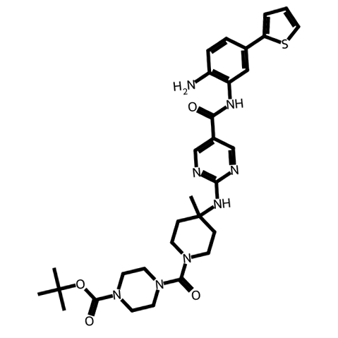 CC1(Nc2ncc(C(=O)Nc3cc(-c4cccs4)ccc3N)cn2)CCN(C(=O)N2CCN(C(=O)OC(C)(C)C)CC2)CC1